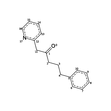 O=C(CCCc1ccccc1)Cc1ccccn1